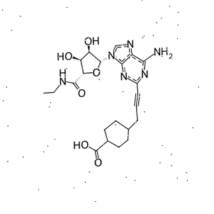 CCNC(=O)[C@H]1O[C@@H](n2cnc3c(N)nc(C#CCC4CCC(C(=O)O)CC4)nc32)[C@H](O)[C@@H]1O